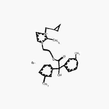 Cc1cccc(C(O)(C(=O)OCCn2cc[n+](CC3CC3)c2C)c2cccc(C)c2)c1.[Br-]